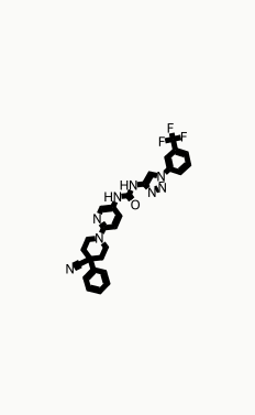 N#CC1(c2ccccc2)CCN(c2ccc(NC(=O)Nc3cn(-c4cccc(C(F)(F)F)c4)nn3)cn2)CC1